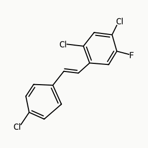 Fc1cc(/C=C/c2ccc(Cl)cc2)c(Cl)cc1Cl